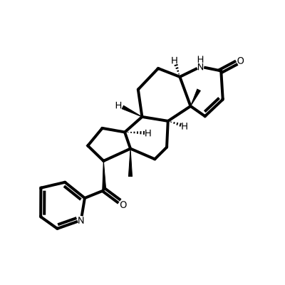 C[C@]12C=CC(=O)N[C@@H]1CC[C@@H]1[C@@H]2CC[C@]2(C)[C@@H](C(=O)c3ccccn3)CC[C@@H]12